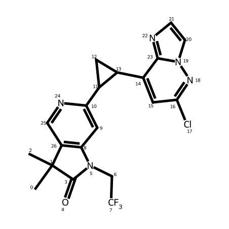 CC1(C)C(=O)N(CC(F)(F)F)c2cc(C3CC3c3cc(Cl)nn4ccnc34)ncc21